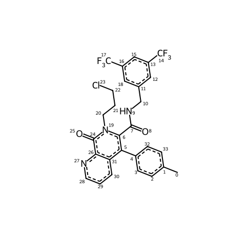 Cc1ccc(-c2c(C(=O)NCc3cc(C(F)(F)F)cc(C(F)(F)F)c3)n(CCCCl)c(=O)c3ncccc23)cc1